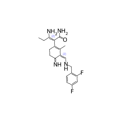 CC/C(N)=C(/C(N)=O)C1=C(C)/C(=C/NCc2ccc(F)cc2F)C(=N)CC1